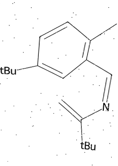 C=C(/N=C\c1cc(C(C)(C)C)ccc1C)C(C)(C)C